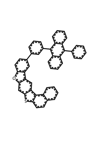 c1ccc(-c2c3ccccc3c(-c3cccc(-c4ccc5oc6cc7sc8ccc9ccccc9c8c7cc6c5c4)c3)c3ccccc23)cc1